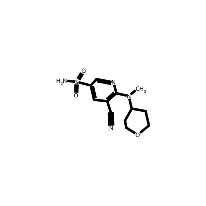 CN(c1ncc(S(N)(=O)=O)cc1C#N)C1CCOCC1